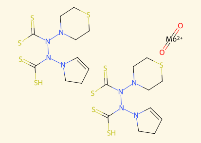 S=C(S)N(N1C=CCC1)N(C(=S)[S-])N1CCSCC1.S=C(S)N(N1C=CCC1)N(C(=S)[S-])N1CCSCC1.[O]=[Mo+2]=[O]